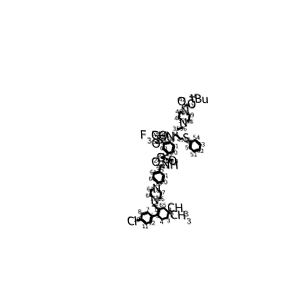 CC1(C)CCC(c2ccc(Cl)cc2)=C(CN2CCN(c3ccc(C(=O)NS(=O)(=O)c4ccc(N[C@H](CCN5CCN(C(=O)OC(C)(C)C)CC5)CSc5ccccc5)c(S(=O)(=O)C(F)(F)F)c4)cc3)CC2)C1